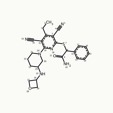 CCc1c(C#N)c(SC(C(N)=O)c2ccccc2)nc(N2CCCC(NC3COC3)C2)c1C#N